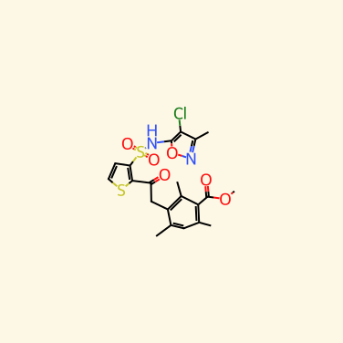 COC(=O)c1c(C)cc(C)c(CC(=O)c2sccc2S(=O)(=O)Nc2onc(C)c2Cl)c1C